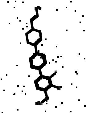 CCC/C=C/C1CC=C(c2ccc(-c3ccc(OCCCC)c(Cl)c3F)cc2)CC1